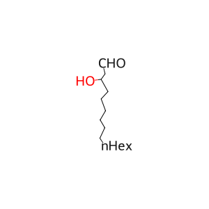 CCCCCCCCCCCCC(O)CC=O